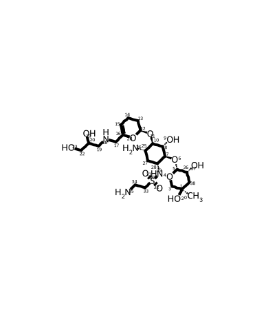 C[C@]1(O)CO[C@H](O[C@@H]2[C@@H](O)[C@H](O[C@@H]3CCC=C(CNCC(O)CO)O3)[C@@H](N)C[C@H]2NS(=O)(=O)CCN)[C@H](O)C1